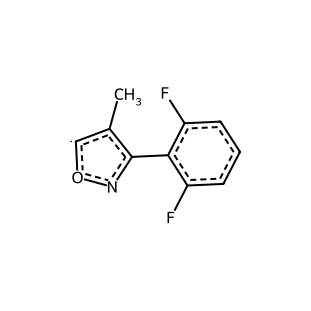 Cc1[c]onc1-c1c(F)cccc1F